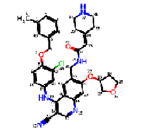 Cc1cccc(COc2ccc(Nc3c(C#N)cnc4cc(OC5CCOC5)c(CNC(=O)C=C5CCNCC5)cc34)cc2Cl)c1